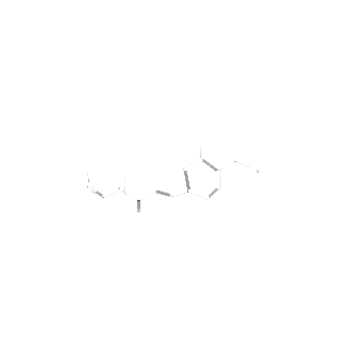 CCCSc1ccc(/C=C/C(=O)N/C=N\C)cc1Cl